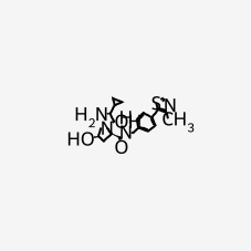 Cc1ncsc1-c1ccc(CNC(=O)[C@H]2C[C@@H](O)CN2C(O)[C@@H](N)C2CC2)cc1